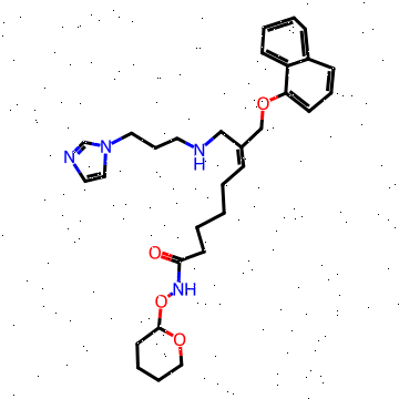 O=C(CCCC/C=C(\CNCCCn1ccnc1)COc1cccc2ccccc12)NOC1CCCCO1